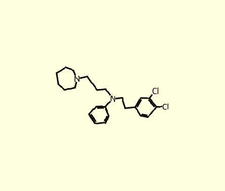 Clc1ccc(CCN(CCCN2CCCCCC2)c2ccccc2)cc1Cl